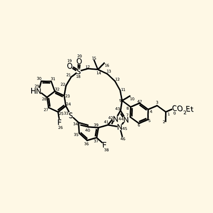 CCOC(=O)C(C)Cc1cccc(C2(C)CCCC(C)(C)CS(=O)(=O)CCc3c(c(F)cc4[nH]ccc34)Sc3ccc(F)c(c3)-c3nc2nn3C)c1